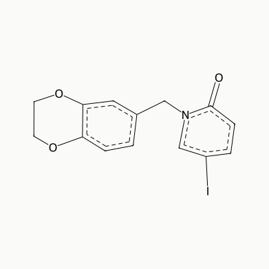 O=c1ccc(I)cn1Cc1ccc2c(c1)OCCO2